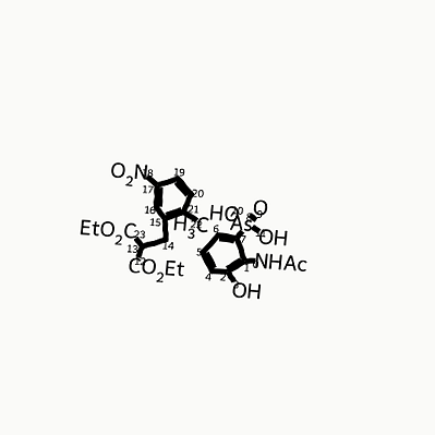 CC(=O)Nc1c(O)cccc1[As](=O)(O)O.CCOC(=O)C(Cc1cc([N+](=O)[O-])ccc1C)C(=O)OCC